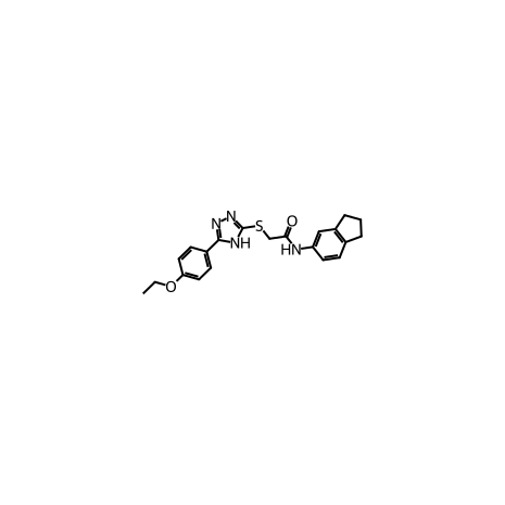 CCOc1ccc(-c2nnc(SCC(=O)Nc3ccc4c(c3)CCC4)[nH]2)cc1